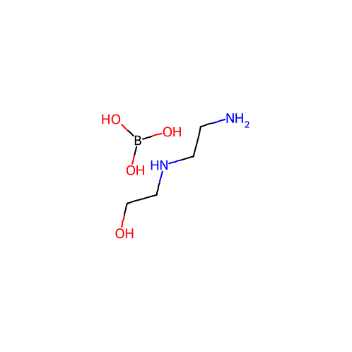 NCCNCCO.OB(O)O